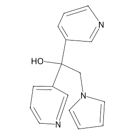 OC(Cn1cccc1)(c1cccnc1)c1cccnc1